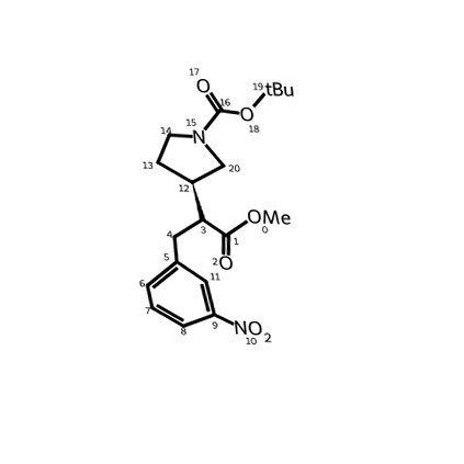 COC(=O)C(Cc1cccc([N+](=O)[O-])c1)[C@H]1CCN(C(=O)OC(C)(C)C)C1